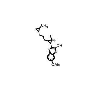 COc1ccc2nc([C@H]3C(CCC[C@@H]4CC4C)C3(F)F)c(O)nc2c1